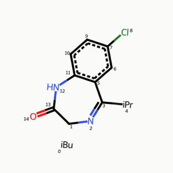 CC[C@H](C)C1N=C(C(C)C)c2cc(Cl)ccc2NC1=O